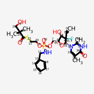 C#C[C@@]1(F)[C@H](O)[C@@H](COP(=O)(NCc2ccccc2)OCCSC(=O)C(C)(C)CO)O[C@H]1N1C=C(C)C(=O)NC1=C